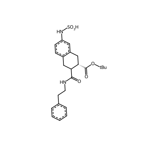 CC(C)(C)OC(=O)[C@H]1Cc2cc(NS(=O)(=O)O)ccc2CC1C(=O)NCCc1ccccc1